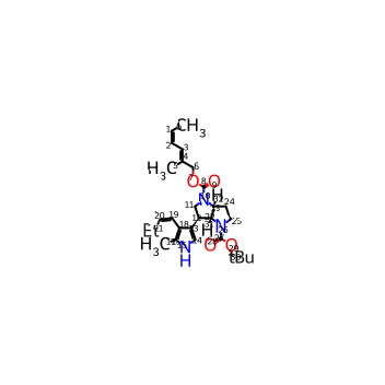 C/C=C\C=C(/C)COC(=O)N1C[C@H](c2c[nH]c(C)c2/C=C\CC)[C@@H]2[C@H]1CCN2C(=O)OC(C)(C)C